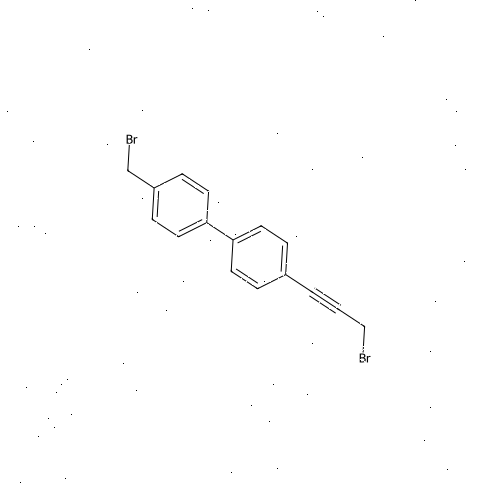 BrCC#Cc1ccc(-c2ccc(CBr)cc2)cc1